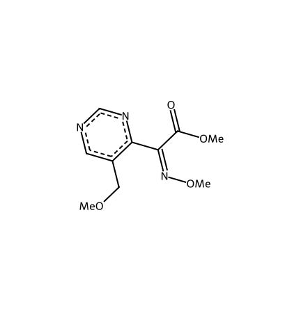 COCc1cncnc1C(=NOC)C(=O)OC